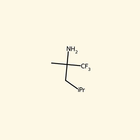 CC(C)CC(C)(N)C(F)(F)F